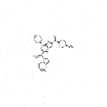 C=C(c1cc(N2CCOCC2)n2nc(C(=O)N3CCN(C(C)(C)C)CC3)cc2n1)c1cc[nH]c1/C=C\C